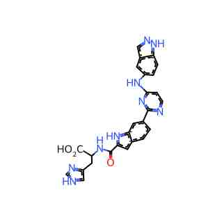 O=C(NC(Cc1c[nH]cn1)C(=O)O)c1cc2ccc(-c3nccc(Nc4ccc5[nH]ncc5c4)n3)cc2[nH]1